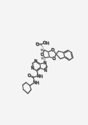 O=C(Nc1ncnc2c1ncn2[C@@H]1O[C@H](C(=O)O)C2OC3(Cc4ccccc4C3)OC21)NC1CCCCC1